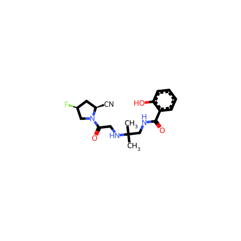 CC(C)(CNC(=O)c1ccccc1O)NCC(=O)N1C[C@@H](F)C[C@H]1C#N